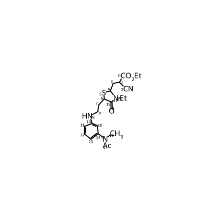 CCOC(=O)C(C#N)CC1SC(CCNc2cccc(N(C)C(C)=O)c2)C(=O)N1CC